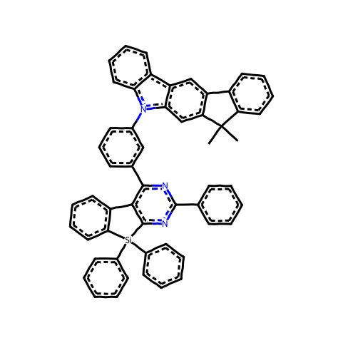 CC1(C)c2ccccc2-c2cc3c4ccccc4n(-c4cccc(-c5nc(-c6ccccc6)nc6c5-c5ccccc5[Si]6(c5ccccc5)c5ccccc5)c4)c3cc21